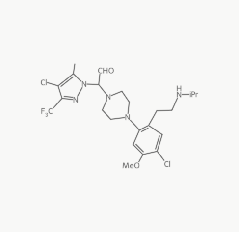 COc1cc(N2CCN(C(C=O)n3nc(C(F)(F)F)c(Cl)c3C)CC2)c(CCNC(C)C)cc1Cl